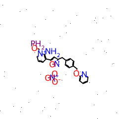 Nc1c(-c2cc(Cc3ccc(COc4ccccn4)cc3)no2)ccc[n+]1COP.O=[N+]([O-])[O-]